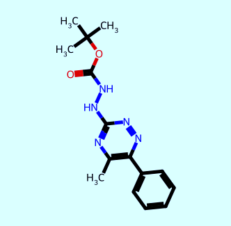 Cc1nc(NNC(=O)OC(C)(C)C)nnc1-c1ccccc1